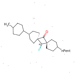 CCCCCC1CC[C@]2(CC1)C(=O)[C@@]1(CCC(C3CCC(C)CC3)CC1)[C@@H]2F